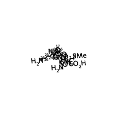 CSCCC(NC(=O)C(CC(N)=O)NC(=O)C1CCCN1C(=O)C(N)CCCCN)C(=O)O